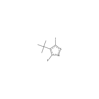 CC(C)(C)c1c(F)nsc1I